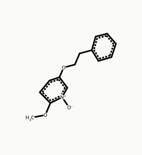 COc1ccc(OCCc2ccccc2)c[n+]1[O-]